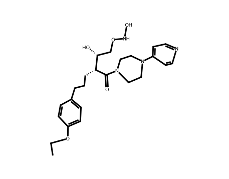 CCOc1ccc(CCC[C@@H](C(=O)N2CCN(c3ccncc3)CC2)[C@H](O)CONO)cc1